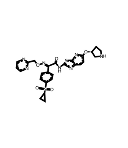 O=C(Nc1nc2ccc(O[C@H]3CCNC3)nc2s1)/C(=N/OCc1ncccn1)c1ccc(S(=O)(=O)C2CC2)cc1